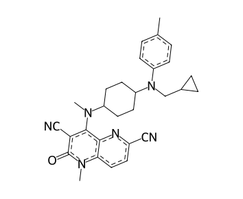 Cc1ccc(N(CC2CC2)C2CCC(N(C)c3c(C#N)c(=O)n(C)c4ccc(C#N)nc34)CC2)cc1